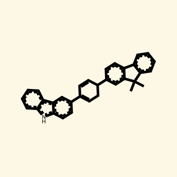 CC1(C)c2ccccc2-c2ccc(C3C=CC(c4ccc5[nH]c6ccccc6c5c4)=CC3)cc21